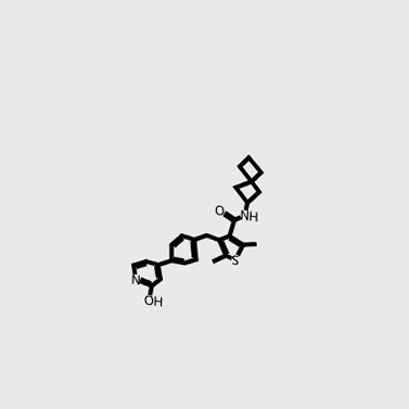 Cc1sc(C)c(C(=O)NC2CC3(CCC3)C2)c1Cc1ccc(-c2ccnc(O)c2)cc1